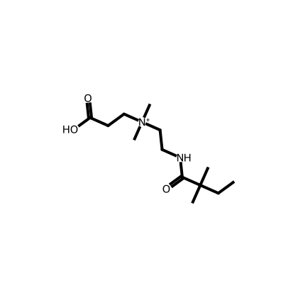 CCC(C)(C)C(=O)NCC[N+](C)(C)CCC(=O)O